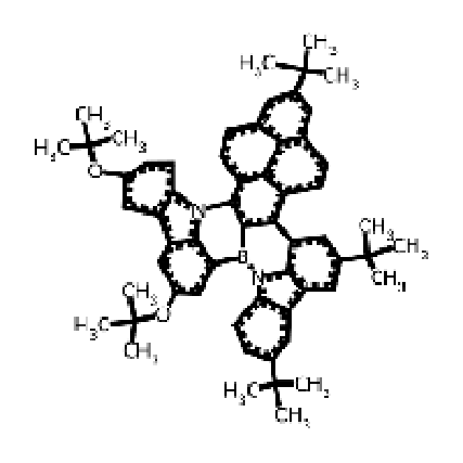 CC(C)(C)Oc1ccc2c(c1)c1cc(OC(C)(C)C)cc3c1n2-c1c2c(c4ccc5cc(C(C)(C)C)cc6ccc1c4c56)-c1cc(C(C)(C)C)cc4c5cc(C(C)(C)C)ccc5n(c14)B23